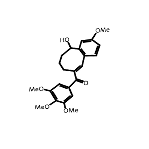 COc1ccc2c(c1)C(O)CCC/C(C(=O)c1cc(OC)c(OC)c(OC)c1)=C\2